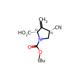 C=C1[C@@H](C(=O)O)N(C(=O)OC(C)(C)C)C[C@H]1C#N